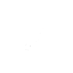 C[C@]1(COCC(F)F)COC[C@@H](COc2ccc(Br)cc2)O1